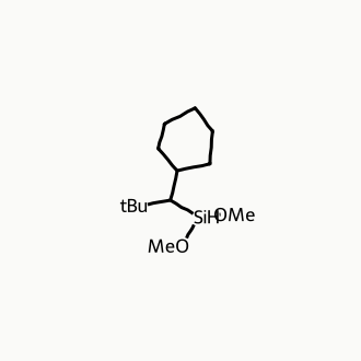 CO[SiH](OC)C(C1CCCCC1)C(C)(C)C